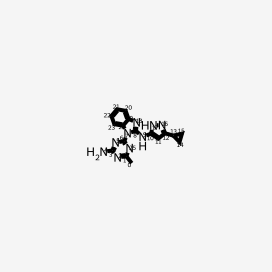 Cc1nc(N)nc(-n2c(Nc3cc(C4CC4)n[nH]3)nc3ccccc32)n1